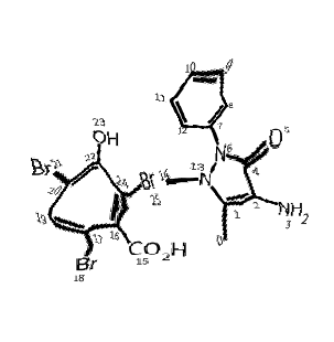 Cc1c(N)c(=O)n(-c2ccccc2)n1C.O=C(O)c1c(Br)cc(Br)c(O)c1Br